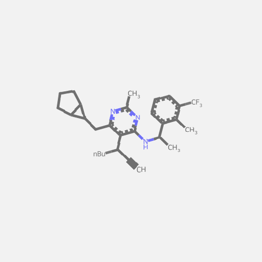 C#CC(CCCC)c1c(CC2C3CCCC32)nc(C)nc1NC(C)c1cccc(C(F)(F)F)c1C